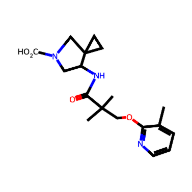 Cc1cccnc1OCC(C)(C)C(=O)NC1CN(C(=O)O)CC12CC2